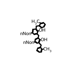 CCCCCCCCCc1cc(Cc2ccccc2C)c(O)c(Cc2cc(CCCCCCCCC)cc(Cc3ccccc3C)c2O)c1